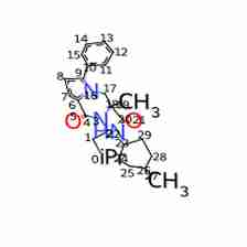 CC(C)CCN1C(=O)c2ccc(-c3ccccc3)n2CC1(C)C(=O)NC1CCC(C)CC1